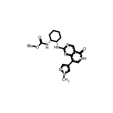 Cn1cc(-c2c[nH]c(=O)c3cnc(N[C@H]4CCCC[C@H]4NC(=O)OC(C)(C)C)nc23)cn1